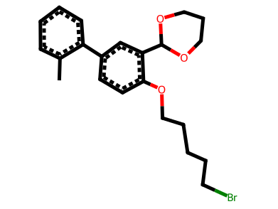 Cc1ccccc1-c1ccc(OCCCCCBr)c(C2OCCCO2)c1